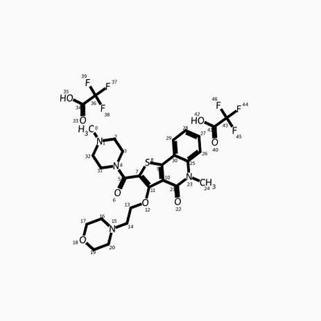 CN1CCN(C(=O)c2sc3c(c2OCCN2CCOCC2)c(=O)n(C)c2ccccc32)CC1.O=C(O)C(F)(F)F.O=C(O)C(F)(F)F